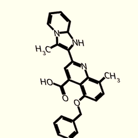 CC1=C(c2cc(C(=O)O)c3c(OCc4ccccc4)ccc(C)c3n2)NC2C=CC=CN12